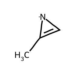 CC1=C[N]1